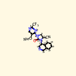 COc1cnc(C(F)(F)F)nc1N1CC(C#N)N(c2cncc3ccccc23)C1=O